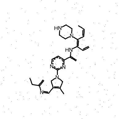 C=C/C(NC(=C)c1ccnc(N2CC(C)=C(/C=N\C(=C)CC)C2)n1)=C(\C=C/C)N1CCNCC1